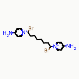 Nc1cc[n+](C(Br)CCCCCCC(Br)[n+]2ccc(N)cc2)cc1